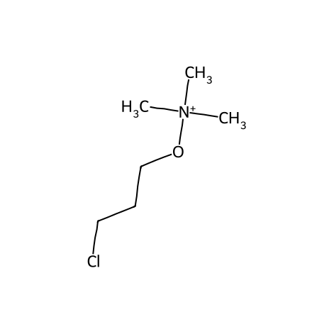 C[N+](C)(C)OCCCCl